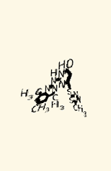 Cc1cc(C)c2nc(Nc3nc(CSc4nnc(C)s4)cc(=O)[nH]3)nc(C)c2c1